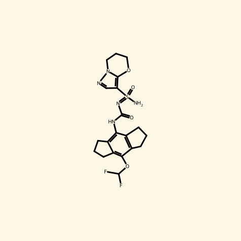 NS(=O)(=NC(=O)Nc1c2c(c(OC(F)F)c3c1CCC3)CCC2)c1cnn2c1OCCC2